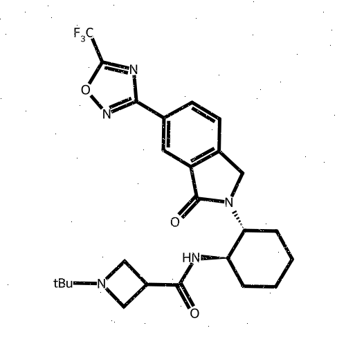 CC(C)(C)N1CC(C(=O)N[C@@H]2CCCC[C@H]2N2Cc3ccc(-c4noc(C(F)(F)F)n4)cc3C2=O)C1